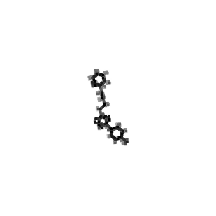 Fc1ccc(-c2noc(CCC#Cc3ccccn3)n2)cc1